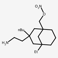 CCCCC1(CCN)CC2(CC)CCCC(CO[N+](=O)[O-])(C2)C1